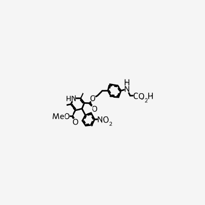 COC(=O)C1=C(C)NC(C)=C(C(=O)OCCc2ccc(NCC(=O)O)cc2)C1c1cccc([N+](=O)[O-])c1